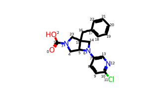 O=C(O)N1CC2N(c3ccc(Cl)nc3)CC2(Cc2ccccc2)C1